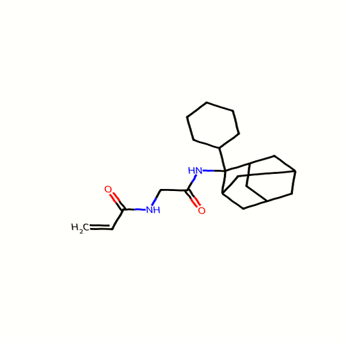 C=CC(=O)NCC(=O)NC1(C2CCCCC2)C2CC3CC(C2)CC1C3